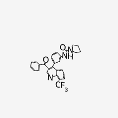 O=C(c1ccccc1)c1cnc2c(C(F)(F)F)cccc2c1-c1cccc(NC(=O)N2CCCC2)c1